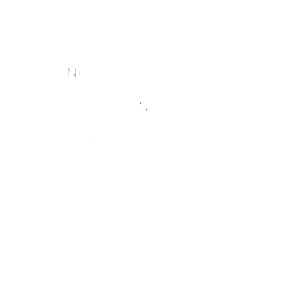 Cc1cccc2sc(C#N)nc12